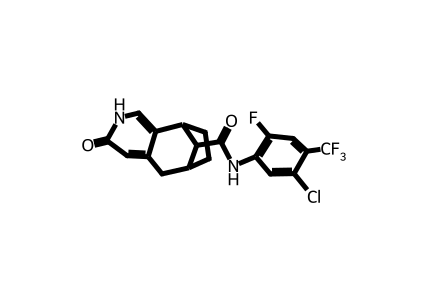 O=C(Nc1cc(Cl)c(C(F)(F)F)cc1F)C1C2CCC1c1c[nH]c(=O)cc1C2